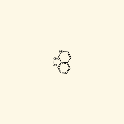 C1=Cc2ccccc2CN1.O=CO